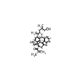 CC(CO)CCN(C)c1cc2[nH]ncc2cc1Nc1ncnc2sc3c(c12)CC[C@H](C(=O)N(C)C)C3